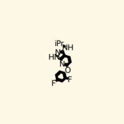 CC(C)Nc1n[nH]c2nc(Oc3ccc(F)cc3F)ccc12